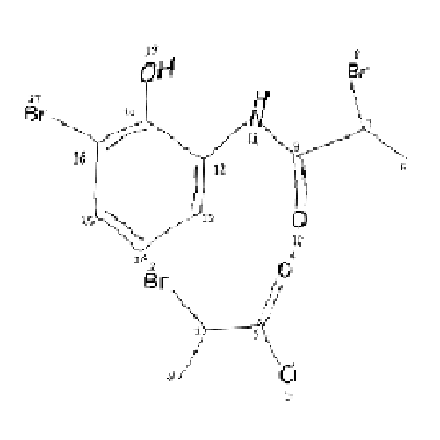 CC(Br)C(=O)Cl.CC(Br)C(=O)Nc1cccc(Br)c1O